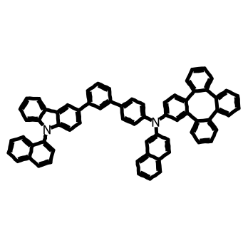 c1cc(-c2ccc(N(c3ccc4c(c3)-c3ccccc3-c3ccccc3-c3ccccc3-4)c3ccc4ccccc4c3)cc2)cc(-c2ccc3c(c2)c2ccccc2n3-c2cccc3ccccc23)c1